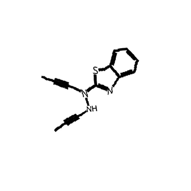 CC#CNN(C#CC)c1nc2ccccc2s1